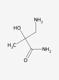 CC(O)(CN)C(N)=O